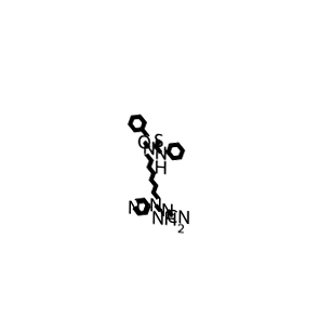 N#CN=C(N)N(CCCCCCCCN(OCC1CCCCC1)C(=S)NC1CCCCC1)c1ccncc1